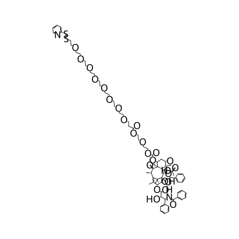 CC(=O)O[C@@]12COC1C[C@H](OC(=O)OCCOCCOC(=O)CCOCCOCCOCCOCCOCCOCCOCCOCCSSc1ccccn1)[C@@]1(C)C(=O)[C@H](C)C3=C(C)C(OC(=O)[C@H](O)[C@@H](NC(=O)c4ccccc4)c4ccccc4)C[C@@](O)([C@@H](OC(=O)c4ccccc4)[C@@H]12)C3(C)C